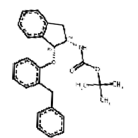 CC(C)(C)OC(=O)N[C@H]1Cc2ccccc2[C@H]1Oc1ccccc1Cc1ccccc1